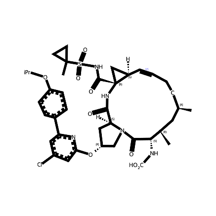 CC(C)Oc1ccc(-c2cc(Cl)cc(O[C@@H]3C[C@H]4C(=O)N[C@]5(C(=O)NS(=O)(=O)C6(C)CC6)C[C@H]5/C=C\CC[C@@H](C)C[C@@H](C)[C@H](NC(=O)O)C(=O)N4C3)n2)cc1